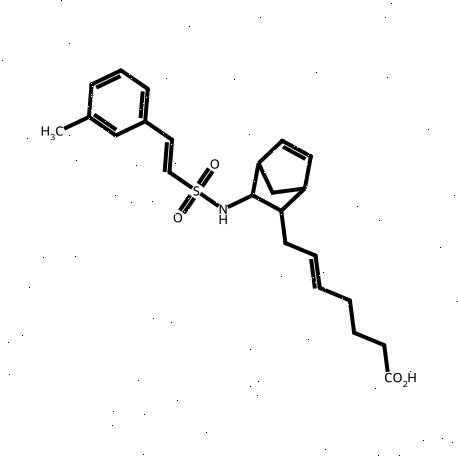 Cc1cccc(C=CS(=O)(=O)NC2C3C=CC(C3)C2CC=CCCCC(=O)O)c1